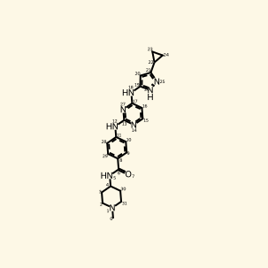 CN1CCC(NC(=O)c2ccc(Nc3nccc(Nc4cc(C5CC5)n[nH]4)n3)cc2)CC1